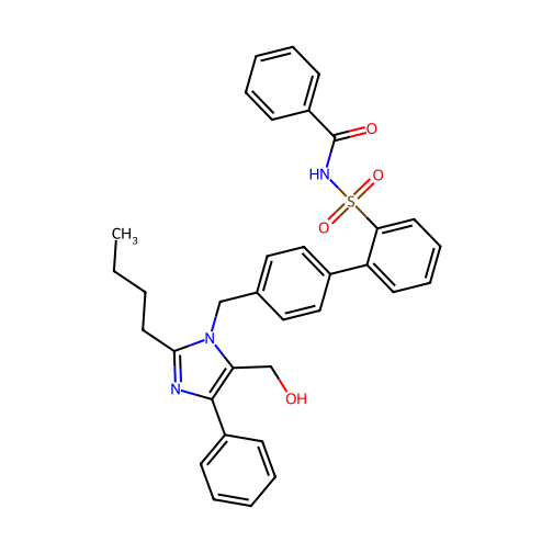 CCCCc1nc(-c2ccccc2)c(CO)n1Cc1ccc(-c2ccccc2S(=O)(=O)NC(=O)c2ccccc2)cc1